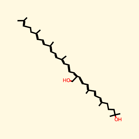 CC(C)=CCC/C(C)=C/C=C/C(C)=C/C=C/C(C)=C/C=C/C=C(/C=C/C=C(C)/C=C/C=C(\C)CCCC(C)(C)O)CO